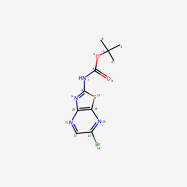 CC(C)(C)OC(=O)Nc1nc2ncc(Br)nc2s1